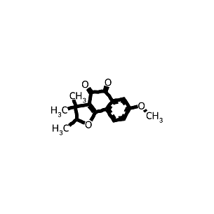 COc1ccc2c(c1)C(=O)C(=O)C1=C2OC(C)C1(C)C